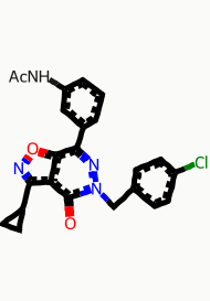 CC(=O)Nc1cccc(-c2nn(Cc3ccc(Cl)cc3)c(=O)c3c(C4CC4)noc23)c1